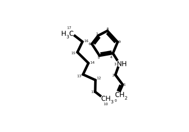 C=CCNc1ccccc1.CCCCCCCC